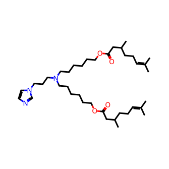 CC(C)=CCCC(C)CC(=O)OCCCCCCN(CCCCCCOC(=O)CC(C)CCC=C(C)C)CCCn1ccnc1